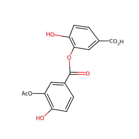 CC(=O)Oc1cc(C(=O)Oc2cc(C(=O)O)ccc2O)ccc1O